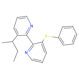 CCC(C)c1cccnc1-c1ncccc1Sc1ccccc1